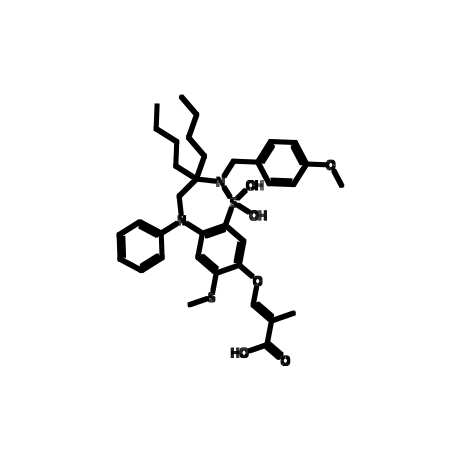 CCCCC1(CCCC)CN(c2ccccc2)c2cc(SC)c(O/C=C(\C)C(=O)O)cc2S(O)(O)N1Cc1ccc(OC)cc1